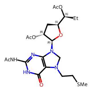 CC[C@H](OC(C)=O)[C@@H]1C[C@@H](OC(C)=O)[C@H](N2CN(CCSC)c3c2nc(NC(C)=O)[nH]c3=O)O1